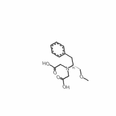 COC[C@@H](Cc1ccccc1)N(CC(=O)O)CC(=O)O